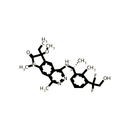 CCC1(OC)C(=O)N(C)c2cc3c(C)nnc(N[C@H](C)c4cccc(C(F)(F)CO)c4C)c3cc21